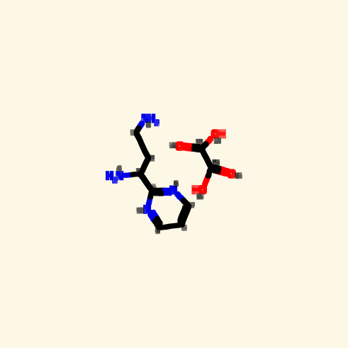 NCCC(N)c1ncccn1.O=C(O)C(=O)O